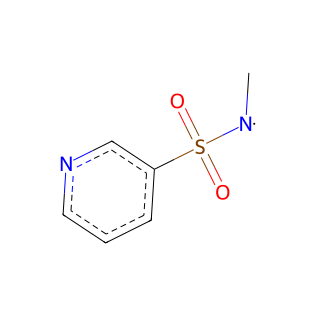 C[N]S(=O)(=O)c1cccnc1